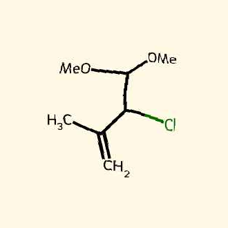 C=C(C)C(Cl)C(OC)OC